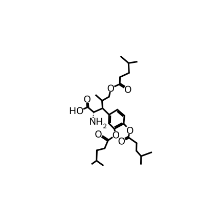 CC(C)CCC(=O)OCC(C)C(c1ccc(OC(=O)CCC(C)C)c(OC(=O)CCC(C)C)c1)[C@H](N)C(=O)O